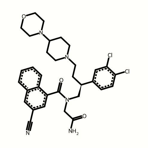 N#Cc1cc(C(=O)N(CC(N)=O)C[C@@H](CCN2CCC(N3CCOCC3)CC2)c2ccc(Cl)c(Cl)c2)c2ccccc2c1